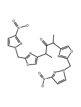 CC(C(=O)C(C)c1coc(Cn2ccc([N+](=O)[O-])n2)n1)c1coc(Cn2ccc([N+](=O)[O-])n2)n1